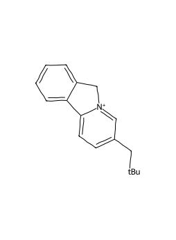 CC(C)(C)Cc1ccc2[n+](c1)Cc1ccccc1-2